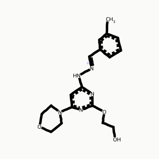 Cc1cccc(/C=N/Nc2cc(N3CCOCC3)nc(OCCO)n2)c1